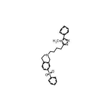 Cn1c(CCCCN2CCc3ccc(S(=O)(=O)c4ccccc4)cc3C2)nnc1-c1ccccc1